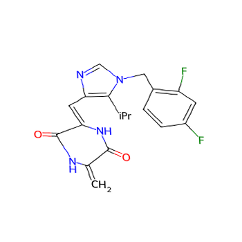 C=c1[nH]c(=O)c(=Cc2ncn(Cc3ccc(F)cc3F)c2C(C)C)[nH]c1=O